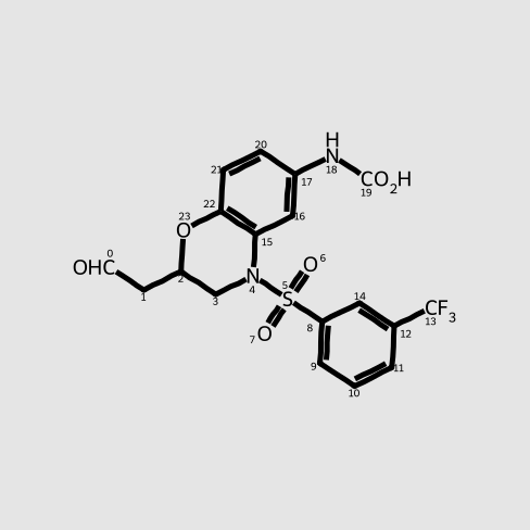 O=CCC1CN(S(=O)(=O)c2cccc(C(F)(F)F)c2)c2cc(NC(=O)O)ccc2O1